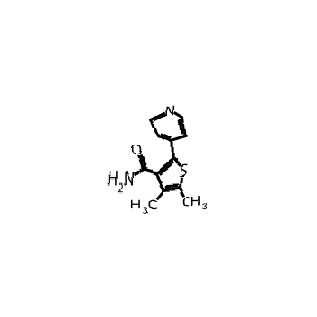 Cc1sc(-c2ccncc2)c(C(N)=O)c1C